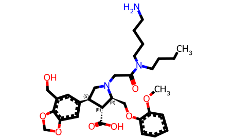 CCCCN(CCCCN)C(=O)CN1C[C@H](c2cc(CO)c3c(c2)OCO3)[C@@H](C(=O)O)[C@@H]1COc1ccccc1OC